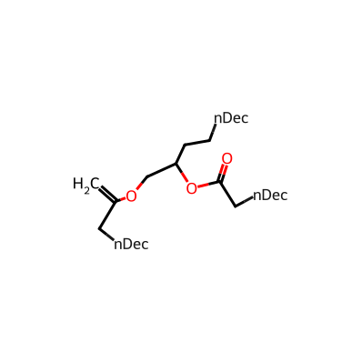 C=C(CCCCCCCCCCC)OCC(CCCCCCCCCCCC)OC(=O)CCCCCCCCCCC